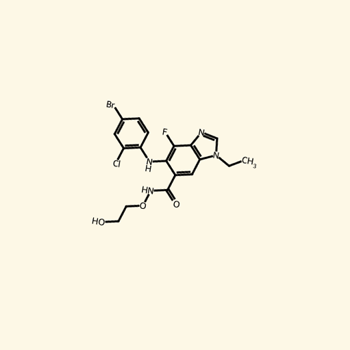 CCn1cnc2c(F)c(Nc3ccc(Br)cc3Cl)c(C(=O)NOCCO)cc21